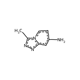 Cc1nnc2cc(N)ccn12